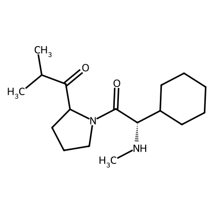 CN[C@H](C(=O)N1CCCC1C(=O)C(C)C)C1CCCCC1